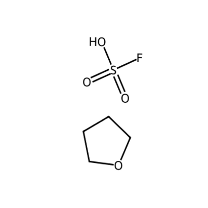 C1CCOC1.O=S(=O)(O)F